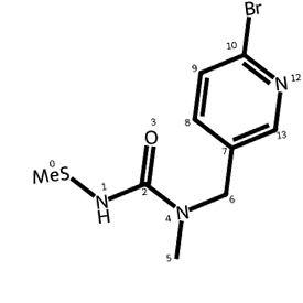 CSNC(=O)N(C)Cc1ccc(Br)nc1